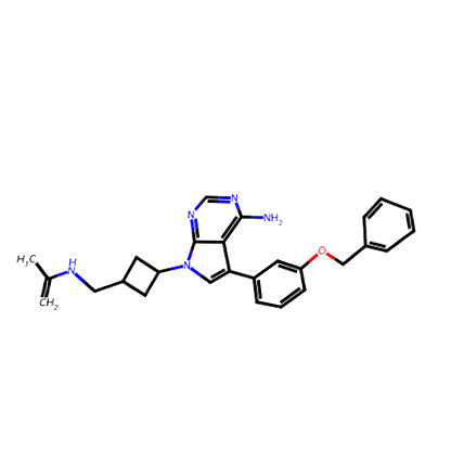 C=C(C)NCC1CC(n2cc(-c3cccc(OCc4ccccc4)c3)c3c(N)ncnc32)C1